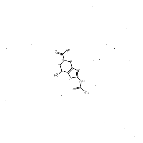 CC(=O)Nc1nc2c(s1)C(O)CN(C(=O)O)C2